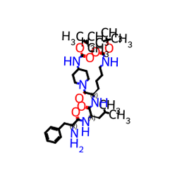 CC(C)C[C@@H](NC(=O)[C@H](N)Cc1ccccc1)C(=O)N[C@H](CCCCNC(=O)OC(C)(C)C)C(=O)N1CCC(NC(=O)OC(C)(C)C)CC1